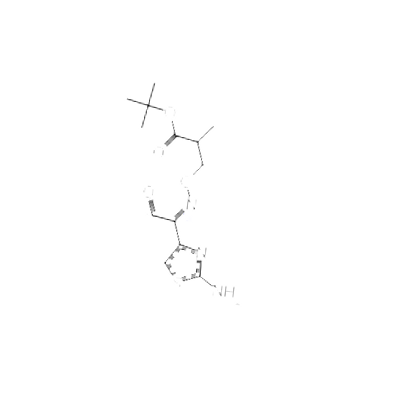 CC(CO/N=C(\[C]=O)c1csc(N)n1)C(=O)OC(C)(C)C